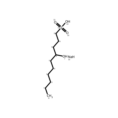 CCCCCCC(O)CCCS(=O)(=O)O.[NaH]